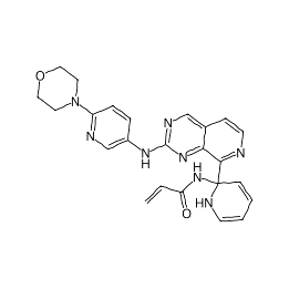 C=CC(=O)NC1(c2nccc3cnc(Nc4ccc(N5CCOCC5)nc4)nc23)C=CC=CN1